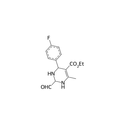 CCOC(=O)C1=C(C)NC(C=O)NC1c1ccc(F)cc1